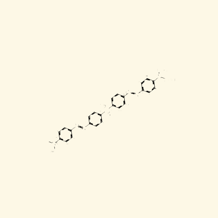 CCCCN(CCCC)c1ccc(N=Nc2ccc(S(=O)(=O)c3ccc(N=Nc4ccc(N(CC)CC)cc4)cc3)cc2)cc1